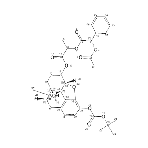 CC(=O)O[C@H](C(=O)OC(C)C(=O)OC1=CC[C@@]2(O)[C@H]3Cc4ccc(OC(=O)OC(C)(C)C)c5c4[C@@]2(CCN3C)[C@H]1O5)c1ccccc1